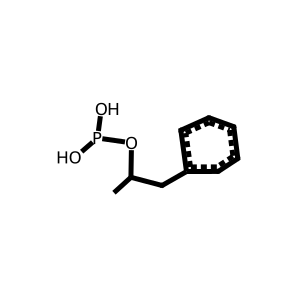 CC(Cc1ccccc1)OP(O)O